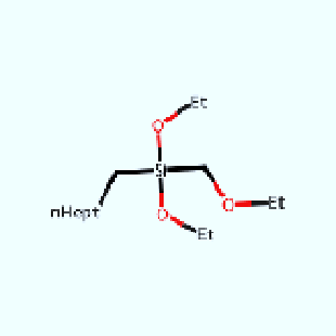 CCCCCCCC[Si](COCC)(OCC)OCC